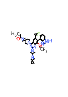 C=CC(=O)N1CC2(CCN(c3nc(N4CC(N5CC6(CC6)C5)C4)nc4c(OCC(F)(F)F)c(-c5c(F)ccc6[nH]cnc56)c(C5CC5)cc34)CC2)C1